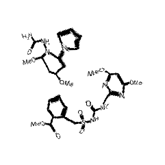 COC(=O)c1ccccc1CS(=O)(=O)NC(=O)Nc1nc(OC)cc(OC)n1.COC1CC(OC)N(NC(N)=O)C(n2cccc2)C1